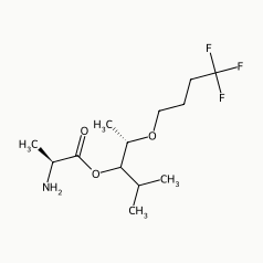 CC(C)C(OC(=O)[C@H](C)N)[C@H](C)OCCCC(F)(F)F